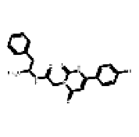 O=C(Cn1c(=O)cc(-c2ccc(Cl)cc2)[nH]c1=O)NC(Cc1ccccc1)C(=O)O